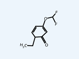 CCC1C=CC(OC(F)F)=CC1=O